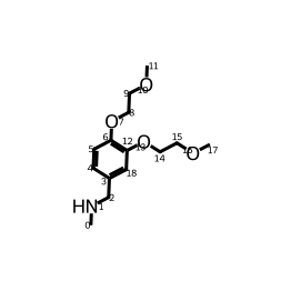 CNCc1ccc(OCCOC)c(OCCOC)c1